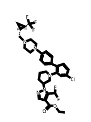 CCOC(=O)c1cnn(C2CCCN(c3cc(Cl)ccc3-c3ccc(N4CCN(C[C@@H]5C[C@@H]5C(F)(F)F)CC4)cc3)C2)c1C(F)F